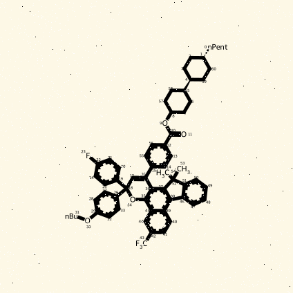 CCCCC[C@H]1CC[C@H](C2CCC(OC(=O)c3ccc(C4=CC(c5ccc(F)cc5)(c5ccc(OCCCC)cc5)Oc5c4c4c(c6ccc(C(F)(F)F)cc56)-c5ccccc5C4(C)C)cc3)CC2)CC1